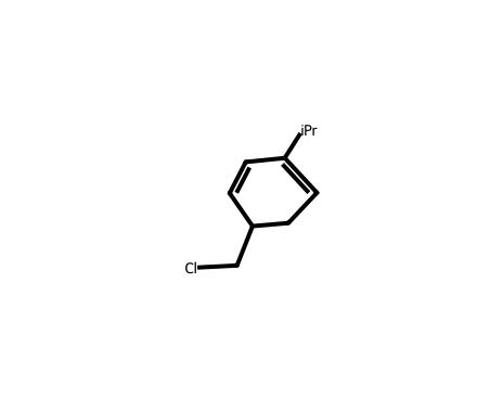 CC(C)C1=CCC(CCl)C=C1